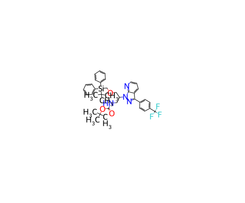 CC(C)(C)OC(=O)NCC(COC[Si](c1ccccc1)(c1ccccc1)C(C)(C)C)n1nc(-c2ccc(C(F)(F)F)cc2)c2cccnc21